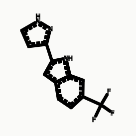 FC(F)(F)c1ccc2cc(-c3cc[nH]n3)[nH]c2c1